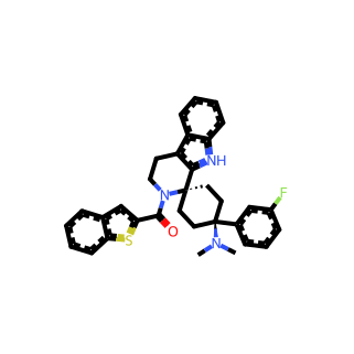 CN(C)[C@]1(c2cccc(F)c2)CC[C@@]2(CC1)c1[nH]c3ccccc3c1CCN2C(=O)c1cc2ccccc2s1